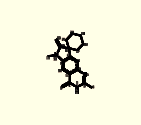 C=C1NC(C)=Nc2cc3c(cc21)N(C)C(=C)C31CCCCC1